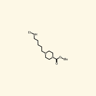 CCNCCCCCN1CCN(C(=O)OC(C)(C)C)CC1